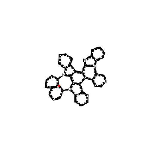 c1ccc(-n2c3ccccc3c3c4c5ccncc5n5c6ccccc6nc5c4c4c5ccccc5n(-c5ccccc5)c4c32)cc1